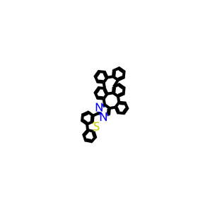 c1ccc2c(c1)sc1c(-c3ncc4c5ccccc5c5cccc6c5-c5c(cccc5c4n3)c3ccccc3c3ccccc63)cccc12